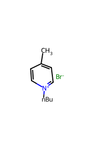 CCCC[n+]1ccc(C)cc1.[Br-]